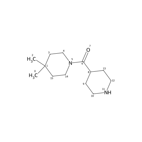 CC1(C)CCN(C(=O)C2CCNCC2)CC1